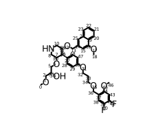 COC[C@@H](O)CO[C@H]1CNC[C@H](OCc2cc(OC)c3ccccc3c2)[C@H]1c1ccc(OCCCOCc2cc(F)c(F)cc2OC)cc1